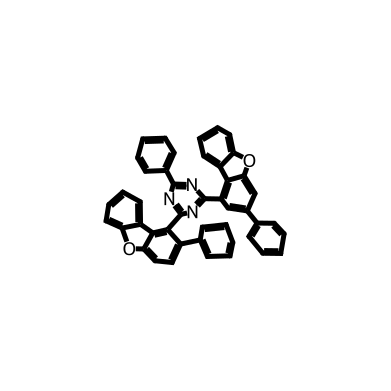 c1ccc(-c2cc(-c3nc(-c4ccccc4)nc(-c4c(-c5ccccc5)ccc5oc6ccccc6c45)n3)c3c(c2)oc2ccccc23)cc1